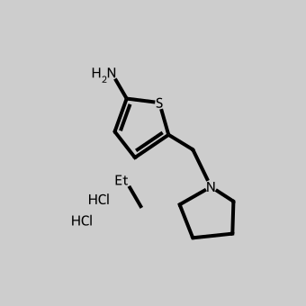 CCC.Cl.Cl.Nc1ccc(CN2CCCC2)s1